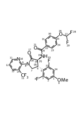 COc1cc(F)c([C@@H]2CN(c3ncccc3C(F)(F)F)C(=O)[C@H]2NC(=O)c2ccc(OC(F)F)cc2)c(F)c1